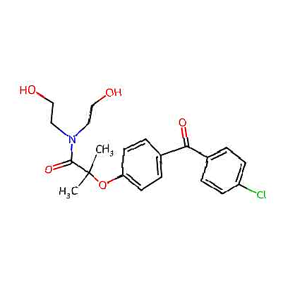 CC(C)(Oc1ccc(C(=O)c2ccc(Cl)cc2)cc1)C(=O)N(CCO)CCO